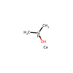 C[SiH](C)O.[Ce]